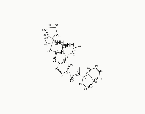 CCC[C@H](c1cccc(C(=O)N[C@H]2CCOc3ccccc32)c1)N1C(=N)N[C@](CC)(c2ccccc2)CC1=O